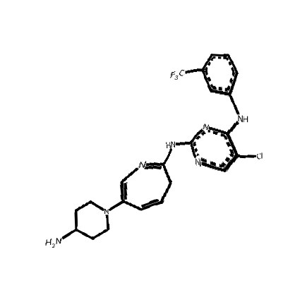 NC1CCN(C2=CN=C(Nc3ncc(Cl)c(Nc4cccc(C(F)(F)F)c4)n3)CC=C2)CC1